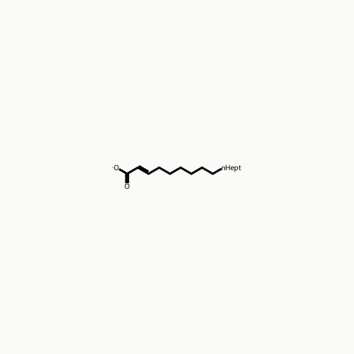 CCCCCCCCCCCCCC=CC([O])=O